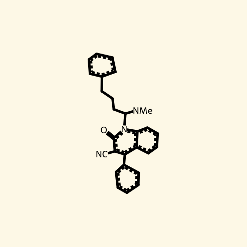 CNC(CCCc1ccccc1)n1c(=O)c(C#N)c(-c2ccccc2)c2ccccc21